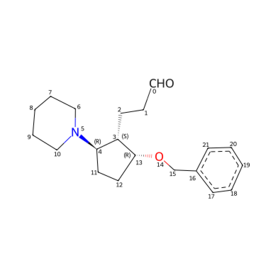 O=CCC[C@H]1[C@H](N2CCCCC2)CC[C@H]1OCc1ccccc1